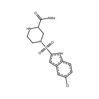 CNC(=O)C1CN(S(=O)(=O)c2cc3cc(Cl)ccc3[nH]2)CCN1